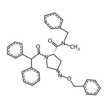 CN(Cc1ccccc1)C(=O)[C@@H]1C/C(=N\OCc2ccccc2)CN1C(=O)C(c1ccccc1)c1ccccc1